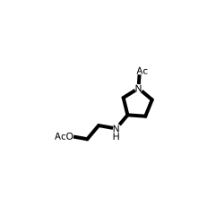 CC(=O)OCCNC1CCN(C(C)=O)C1